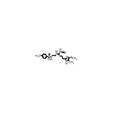 CSc1nc(CCN=C(NC#N)NCCNS(=O)(=O)c2ccc(C)cc2)[nH]c1C